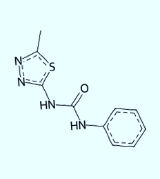 Cc1nnc(NC(=O)Nc2ccccc2)s1